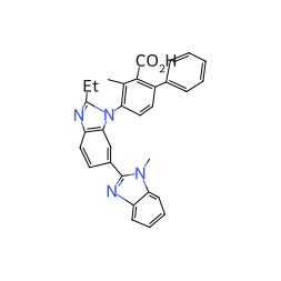 CCc1nc2ccc(-c3nc4ccccc4n3C)cc2n1-c1ccc(-c2ccccc2)c(C(=O)O)c1C